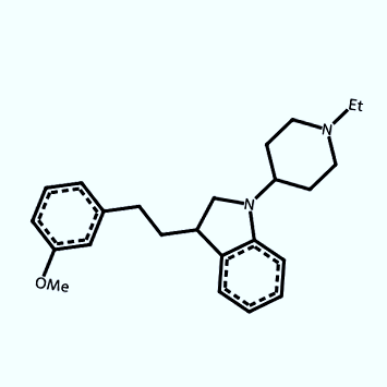 CCN1CCC(N2CC(CCc3cccc(OC)c3)c3ccccc32)CC1